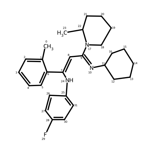 Cc1ccccc1C(=CC(=NC1CCCCC1)N1CCCCC1C)Nc1ccc(F)cc1